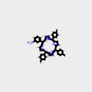 Cc1ccc(-c2c3nc(c(-c4ccc(C)cc4)c4ccc([nH]4)c(-c4cccc(N)c4)c4nc(c(-c5ccc(C)cc5)c5ccc2[nH]5)C=C4)C=C3)cc1